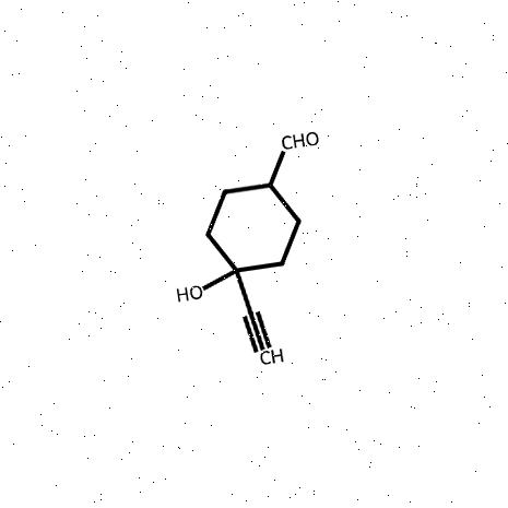 C#CC1(O)CCC(C=O)CC1